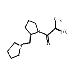 CC(C)C(=O)N1CCCC1CN1CCCC1